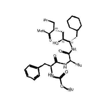 CCCCC(NC(=O)C(Cc1ccccc1)NC(=O)OC(C)(C)C)C(=O)N[C@@H](CC1CCCCC1)[C@@H](O)C[C@@H](CC(C)C)C(=O)NC